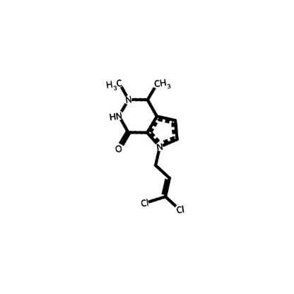 CC1c2ccn(CC=C(Cl)Cl)c2C(=O)NN1C